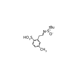 Cc1ccc(S(=O)(=O)O)c(CC=N[S+]([O-])C(C)(C)C)c1